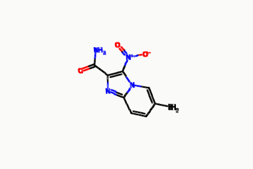 Bc1ccc2nc(C(N)=O)c([N+](=O)[O-])n2c1